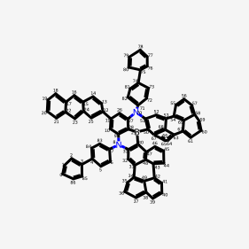 c1ccc(-c2ccc(N3c4cc(-c5ccc6cc7ccccc7cc6c5)cc5c4B(c4c3cc3c6cccc7cccc(c8cccc4c83)c76)c3c(cc4c6cccc7cccc(c8cccc3c84)c76)N5c3ccc(-c4ccccc4)cc3)cc2)cc1